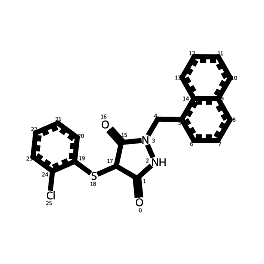 O=C1NN(Cc2cccc3ccccc23)C(=O)C1Sc1ccccc1Cl